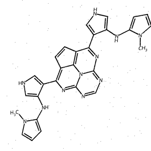 Cn1cccc1Nc1c[nH]cc1-c1nc2ncnc3nc(-c4c[nH]cc4Nc4cccn4C)c4ccc1c4n23